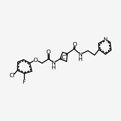 O=C(COc1ccc(Cl)c(F)c1)NC12CC(C(=O)NCCc3cccnc3)(C1)C2